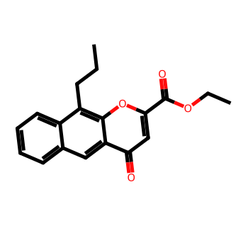 CCCc1c2ccccc2cc2c(=O)cc(C(=O)OCC)oc12